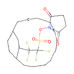 O=C1CCC(=O)N1OS(=O)(=O)C(F)(F)C(F)(F)C1CC2CCCCCCCCCCCC1CC2